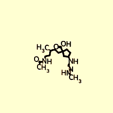 CNN=CNC1CCC(CC[C@H](C)CCNC(C)=O)(C(=O)O)C1